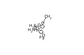 C=CCCOc1cccc(C2(c3ccc(OC(F)F)cc3)N=C(N)N(C)C2=O)c1